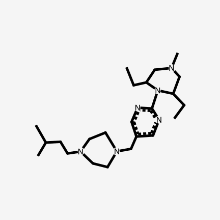 CCC1CN(C)CC(CC)N1c1ncc(CN2CCN(CCC(C)C)CC2)cn1